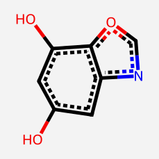 Oc1cc(O)c2ocnc2c1